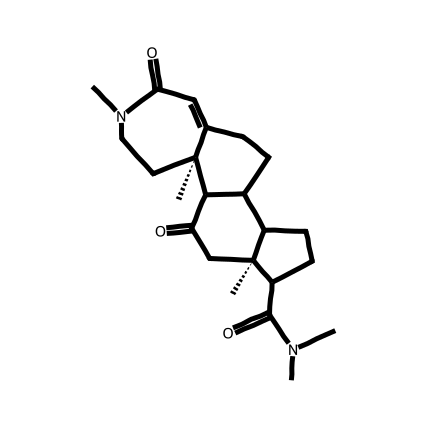 CN(C)C(=O)C1CCC2C3CCC4=CC(=O)N(C)CC[C@]4(C)C3C(=O)C[C@]12C